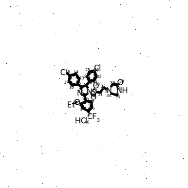 CCOc1cc(C(F)(F)F)ccc1C1=NC(c2ccc(Cl)cc2)C(c2ccc(Cl)cc2)N1S(=O)(=O)CCN1CCNC(=O)C1.Cl